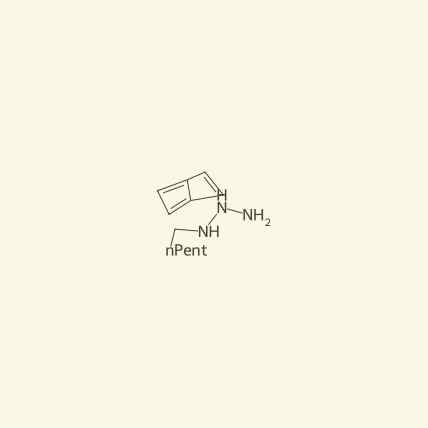 CCCCCCNNN.c1cc2ccc1-2